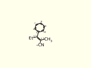 CCC(=C(C)C#N)c1ccccc1